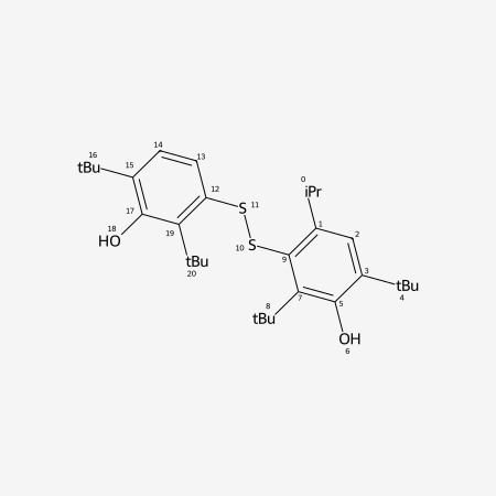 CC(C)c1cc(C(C)(C)C)c(O)c(C(C)(C)C)c1SSc1ccc(C(C)(C)C)c(O)c1C(C)(C)C